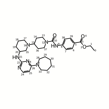 CCOC(=O)c1ccc(NC(=O)N2CCC(N3CCCC(Nc4nccc(N5CCCCCC5)n4)C3)CC2)cc1